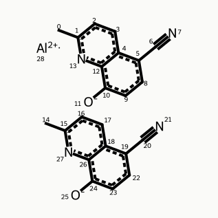 Cc1ccc2c(C#N)ccc([O-])c2n1.Cc1ccc2c(C#N)ccc([O-])c2n1.[Al+2]